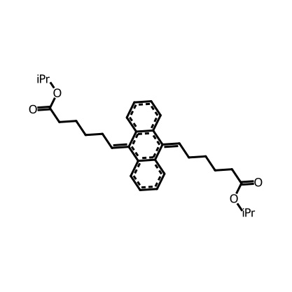 CC(C)OC(=O)CCCCC=c1c2ccccc2c(=CCCCCC(=O)OC(C)C)c2ccccc12